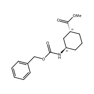 COC(=O)[C@@H]1CCC[C@@H](NC(=O)OCc2ccccc2)C1